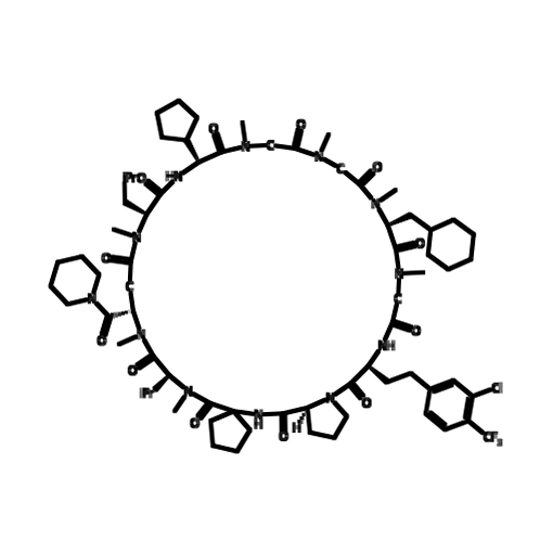 CC(C)C[C@H]1C(=O)N[C@@H](C2CCCC2)C(=O)N(C)CC(=O)N(C)CC(=O)N(C)[C@@H](CC2CCCCC2)C(=O)N(C)CC(=O)N[C@@H](CCc2ccc(C(F)(F)F)c(Cl)c2)C(=O)N2CCC[C@H]2C(=O)NC2(CCCC2)C(=O)N(C)[C@@H](C(C)C)C(=O)N(C)[C@H](C(=O)N2CCCCC2)CC(=O)N1C